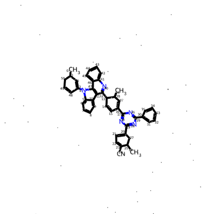 CC1C=C(n2c3ccccc3c3c(C4C=CC(c5nc(C6=CC=C(C#N)C(C)C6)nc(-c6ccccc6)n5)=CC4C)nc4ccccc4c32)C=CC1